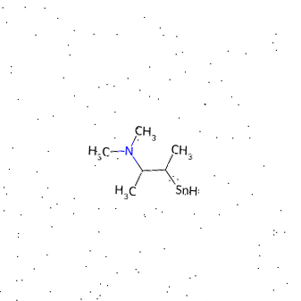 C[CH]([SnH])C(C)N(C)C